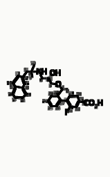 CC(OC[C@@H](O)CNC(C)(C)Cc1ccc2ccccc2c1)c1ccccc1-c1ccc(C(=O)O)cc1F